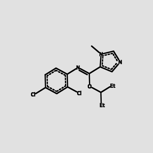 CCC(CC)OC(=Nc1ccc(Cl)cc1Cl)c1cncn1C